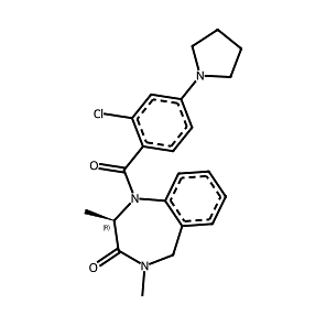 C[C@@H]1C(=O)N(C)Cc2ccccc2N1C(=O)c1ccc(N2CCCC2)cc1Cl